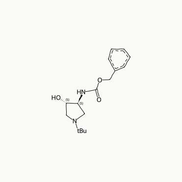 CC(C)(C)N1C[C@H](NC(=O)OCc2ccccc2)[C@@H](O)C1